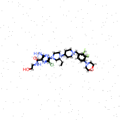 CC[C@H]1CN(c2nc(N)c(C(=O)NCCO)nc2Cl)CCN1C1CCN(Cc2ccc(N3CCOCC3)c(F)c2F)CC1